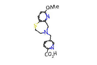 COc1ccc2c(n1)CN(Cc1ccc(C(=O)O)nc1)CCS2